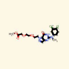 COC(=O)COCCOCCn1ncc2nc(N(C)c3ccc(Cl)c(Cl)c3)[nH]c(=O)c21